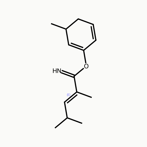 C/C(=C\C(C)C)C(=N)OC1=CC(C)CC=C1